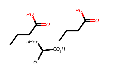 CCCC(=O)O.CCCC(=O)O.CCCCCCC(CC)C(=O)O